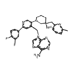 Cc1cccc(C[C@@]2(N)CCCN(c3cnc(-c4ccc(F)c(F)c4)cc3Cn3cnc4c(N)ncnc43)C2)n1